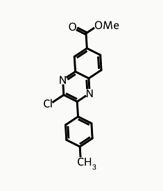 COC(=O)c1ccc2nc(-c3ccc(C)cc3)c(Cl)nc2c1